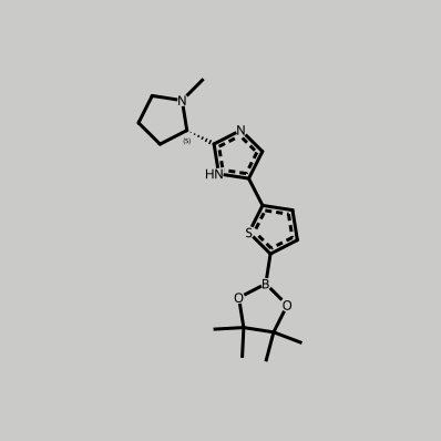 CN1CCC[C@H]1c1ncc(-c2ccc(B3OC(C)(C)C(C)(C)O3)s2)[nH]1